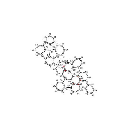 CC1(c2cccc3c2-c2ccccc2C3(c2ccccc2)c2ccccc2)C=CC(N(c2ccccc2-c2ccc(-c3ccccc3)cc2)c2ccccc2-c2cccc3cccc(C4CCCCC4)c23)=CC1